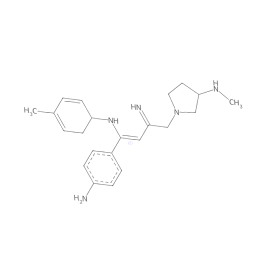 CNC1CCN(CC(=N)/C=C(\NC2C=CC(C)=CC2)c2ccc(N)cc2)C1